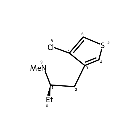 CC[C@H](Cc1cscc1Cl)NC